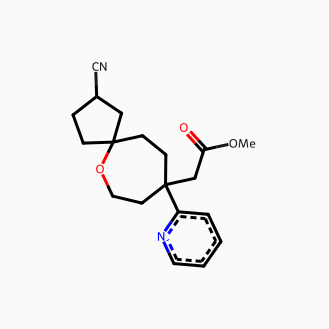 COC(=O)CC1(c2ccccn2)CCOC2(CCC(C#N)C2)CC1